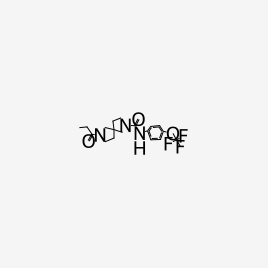 CCC(=O)N1CCC2(CCN(C(=O)Nc3ccc(OC(F)(F)F)cc3)C2)C1